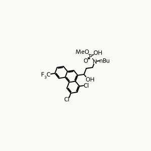 CCCCN(CCC(O)c1cc2ccc(C(F)(F)F)cc2c2cc(Cl)cc(Cl)c12)P(=O)(O)OC